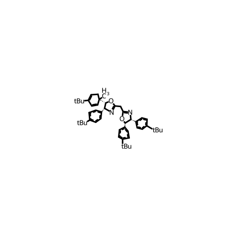 CC(C)(C)C1=CCC(C)([C@@H]2OC(CC3=N[C@H](c4ccc(C(C)(C)C)cc4)[C@H](c4ccc(C(C)(C)C)cc4)O3)=N[C@@H]2c2ccc(C(C)(C)C)cc2)C=C1